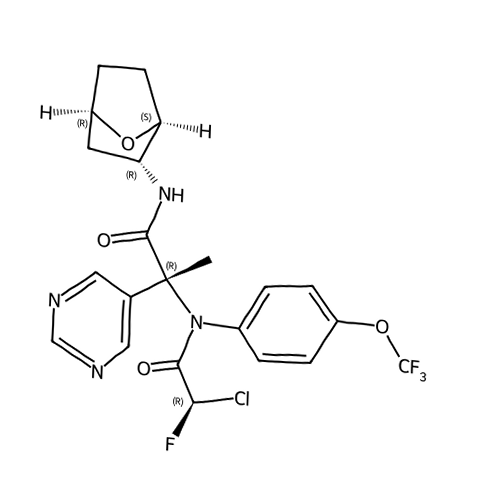 C[C@](C(=O)N[C@@H]1C[C@H]2CC[C@@H]1O2)(c1cncnc1)N(C(=O)[C@H](F)Cl)c1ccc(OC(F)(F)F)cc1